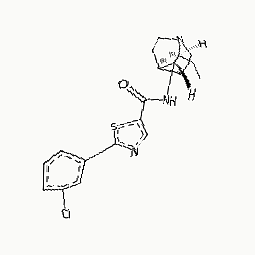 C[C@H]1[C@H](NC(=O)c2cnc(-c3cccc(Cl)c3)s2)C2CCN1CC2